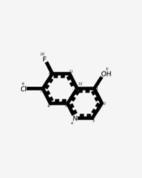 Oc1ccnc2cc(Cl)c(F)cc12